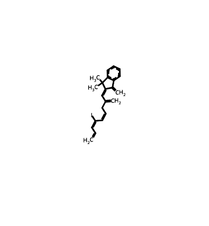 C=C/C=C(I)\C=C/CC(=C)/C=C1\C(=C)c2ccccc2C1(C)C